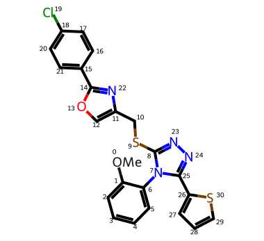 COc1ccccc1-n1c(SCc2coc(-c3ccc(Cl)cc3)n2)nnc1-c1cccs1